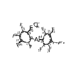 Fc1c(F)c(F)[c]([Al+][c]2c(F)c(F)c(F)c(F)c2F)c(F)c1F.[Cl-]